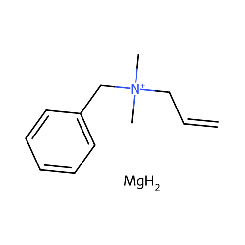 C=CC[N+](C)(C)Cc1ccccc1.[MgH2]